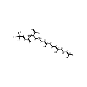 C=C(/C=C/C(F)(F)F)NC(CSC/C=C(\C)CC/C=C(\C)CCC=C(C)C)C(=C)C